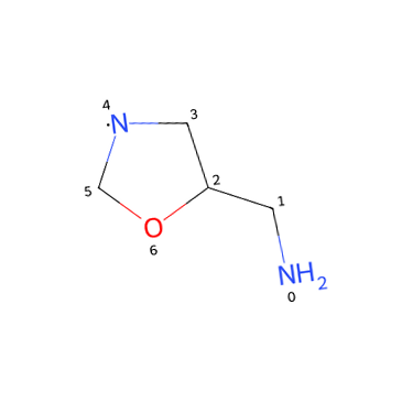 NCC1C[N]CO1